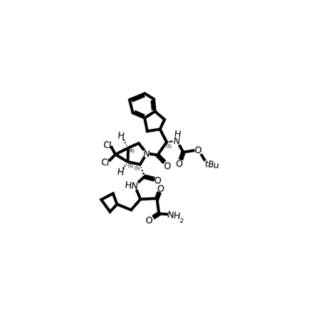 CC(C)(C)OC(=O)N[C@H](C(=O)N1C[C@H]2[C@@H]([C@H]1C(=O)NC(CC1CCC1)C(=O)C(N)=O)C2(Cl)Cl)C1Cc2ccccc2C1